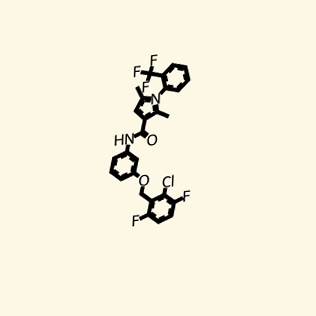 Cc1cc(C(=O)Nc2cccc(OCc3c(F)ccc(F)c3Cl)c2)c(C)n1-c1ccccc1C(F)(F)F